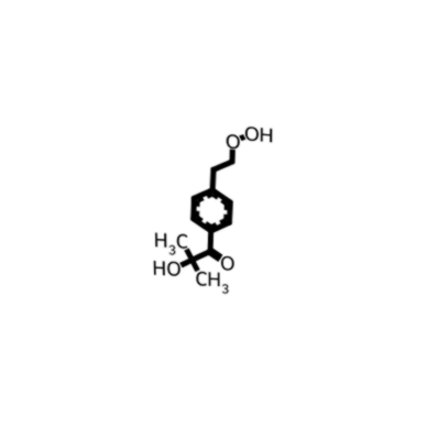 CC(C)(O)C(=O)c1ccc(CCOO)cc1